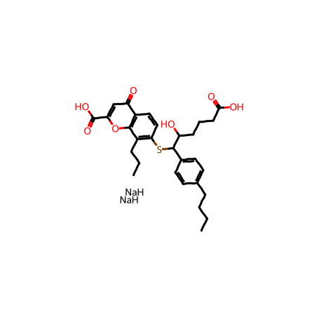 CCCCc1ccc(C(Sc2ccc3c(=O)cc(C(=O)O)oc3c2CCC)C(O)CCCC(=O)O)cc1.[NaH].[NaH]